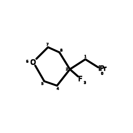 CC(C)CC1(F)CCOCC1